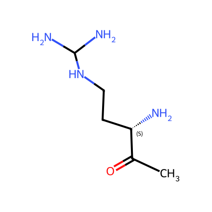 CC(=O)[C@@H](N)CCNC(N)N